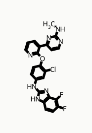 CNc1nccc(-c2cccnc2Oc2ccc(Nc3nc4c(F)c(F)ccc4[nH]3)cc2Cl)n1